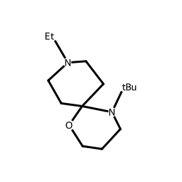 CCN1CCC2(CC1)OCCCN2C(C)(C)C